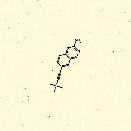 C[Si](C)(C)C#Cc1ccc2nc(N)ncc2c1